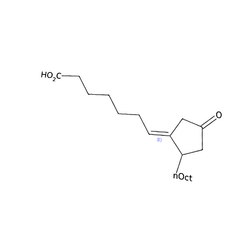 CCCCCCCCC1CC(=O)C/C1=C\CCCCCC(=O)O